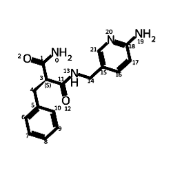 NC(=O)[C@H](Cc1ccccc1)C(=O)NCc1ccc(N)nc1